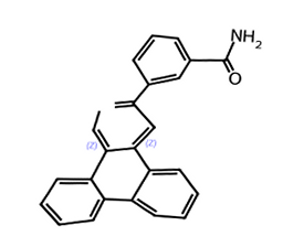 C=C(/C=c1\c(=C/C)c2ccccc2c2ccccc12)c1cccc(C(N)=O)c1